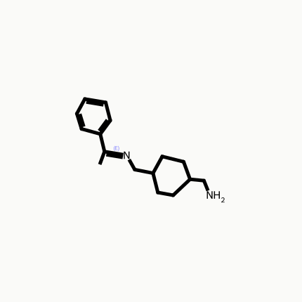 C/C(=N\CC1CCC(CN)CC1)c1ccccc1